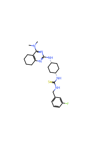 CN(C)c1nc(N[C@H]2CC[C@@H](NC(=S)NCc3cccc(F)c3)CC2)nc2c1CCCC2